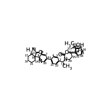 C[C@@H](c1ccc(-c2ccc(C3(C(N)=O)CCCCC3)nc2)cc1)N1CC[C@](CC(C)(C)O)(c2ccccc2)OC1=O